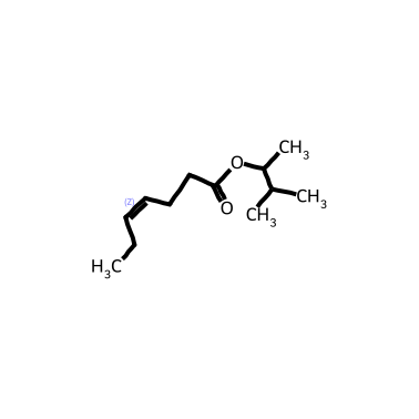 CC/C=C\CCC(=O)OC(C)C(C)C